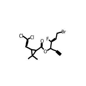 C#CC(OC(=O)C1C(C=C(Cl)Cl)C1(C)C)/C(F)=C/CBr